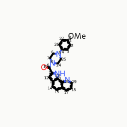 COc1ccc(N2CCN(C(=O)c3cc4ccc5cccnc5c4[nH]3)CC2)cc1